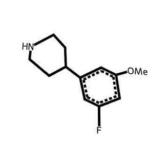 COc1cc(F)cc(C2CCNCC2)c1